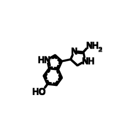 NC1=NC(c2c[nH]c3cc(O)ccc23)CN1